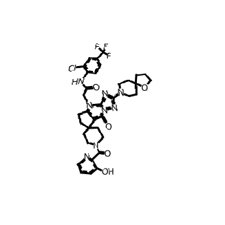 O=C(Cn1c2c(c(=O)n3nc(N4CCC5(CCCO5)CC4)nc13)C1(CC2)CCN(C(=O)c2ncccc2O)CC1)Nc1ccc(C(F)(F)F)cc1Cl